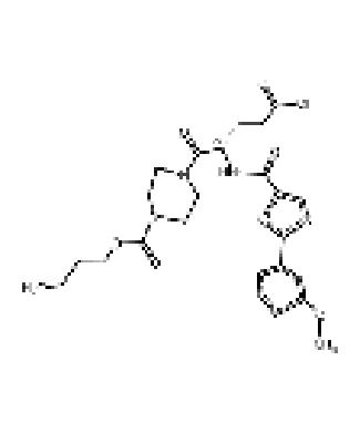 CCCCOC(=O)N1CCN(C(=O)[C@H](CCC(=O)O)NC(=O)c2csc(-c3cccc(OC)c3)n2)CC1